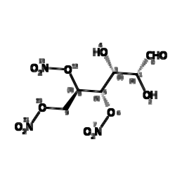 O=C[C@H](O)[C@@H](O)[C@H](O[N+](=O)[O-])[C@@H](CO[N+](=O)[O-])O[N+](=O)[O-]